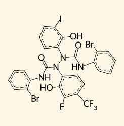 O=C(Nc1ccccc1Br)N(c1cccc(I)c1O)N(C(=O)Nc1ccccc1Br)c1ccc(C(F)(F)F)c(F)c1O